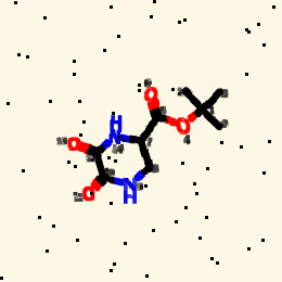 CC(C)(C)OC(=O)C1CNC(=O)C(=O)N1